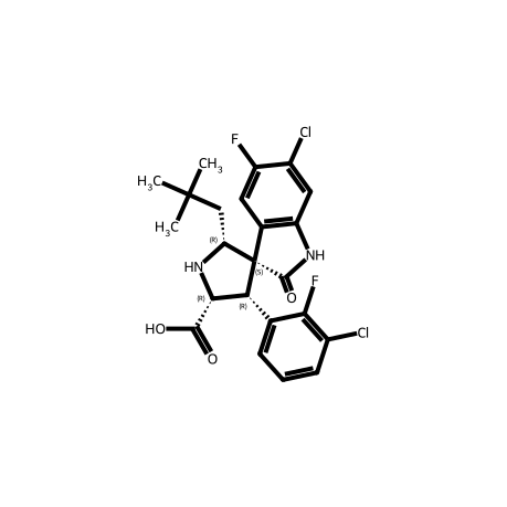 CC(C)(C)C[C@H]1N[C@@H](C(=O)O)[C@@H](c2cccc(Cl)c2F)[C@@]12C(=O)Nc1cc(Cl)c(F)cc12